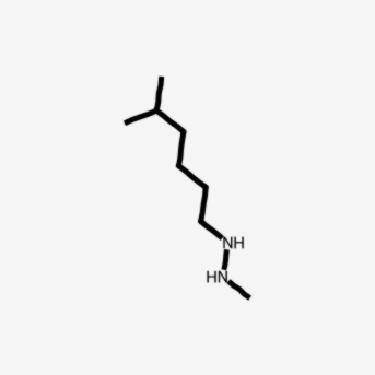 CNNCCCCC(C)C